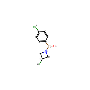 [O-][S+](c1ccc(Br)cc1)N1CC(F)C1